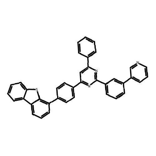 c1ccc(-c2cc(-c3ccc(-c4cccc5c4sc4ccccc45)cc3)nc(-c3cccc(-c4cccnc4)c3)n2)cc1